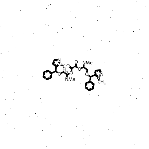 CNC(COC(c1ccccc1)c1ccnn1C)OC(=O)C(=O)OC(COC(c1ccccc1)c1ccnn1C)NC